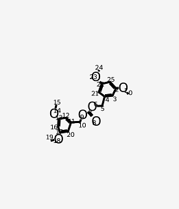 COc1cc(COC(=O)OCc2cc(OC)cc(OC)c2)cc(OC)c1